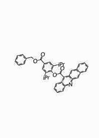 CC(C)c1cc(C(=O)OCc2ccccc2)cc(C(C)C)c1OC(=O)c1c2ccccc2nc2cc3ccccc3cc12